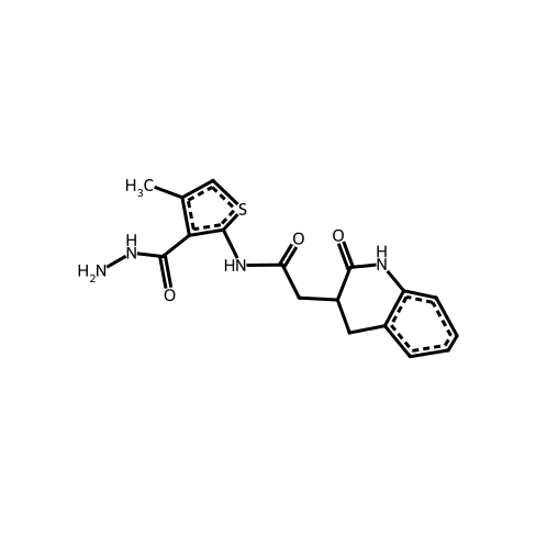 Cc1csc(NC(=O)CC2Cc3ccccc3NC2=O)c1C(=O)NN